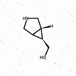 OC[C@H]1C2CNC[C@@H]21